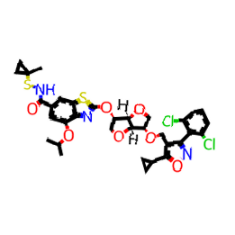 CC(C)Oc1cc(C(=O)NSC2(C)CC2)cc2sc(O[C@@H]3CO[C@H]4[C@@H]3OC[C@H]4OCc3c(-c4c(Cl)cccc4Cl)noc3C3CC3)nc12